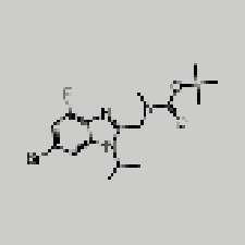 CC(C)n1c(CN(C)C(=O)OC(C)(C)C)nc2c(F)cc(Br)cc21